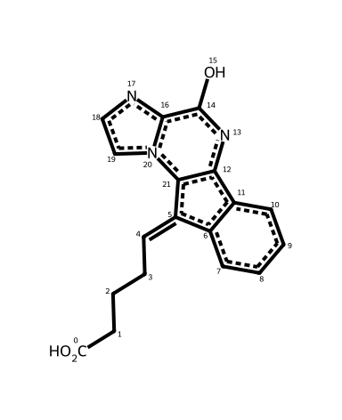 O=C(O)CCC/C=c1\c2ccccc2c2nc(O)c3nccn3c12